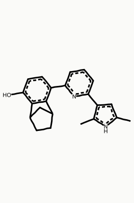 Cc1cc(-c2cccc(-c3ccc(O)c4c3C3CCC4C3)n2)c(C)[nH]1